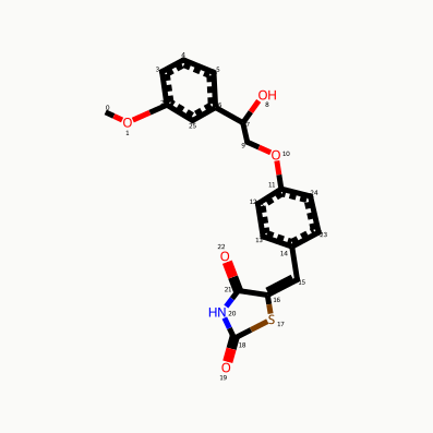 COc1cccc(C(O)COc2ccc(C=C3SC(=O)NC3=O)cc2)c1